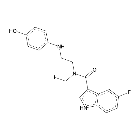 O=C(c1c[nH]c2ccc(F)cc12)N(CI)CCNc1ccc(O)cc1